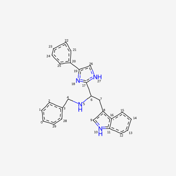 c1ccc(CNC(Cc2c[nH]c3ccccc23)c2nc(-c3ccccc3)c[nH]2)cc1